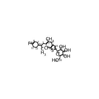 C/C(=C\CC(C)C1CC=C(F)CC1)Cc1cc([C@@H]2O[C@H](CO)[C@@H](O)C(O)[C@H]2O)sc1Cl